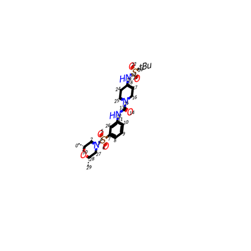 C[C@@H]1CN(S(=O)(=O)c2cccc(NC(=O)N3CCC(NS(=O)(=O)C(C)(C)C)CC3)c2)C[C@H](C)O1